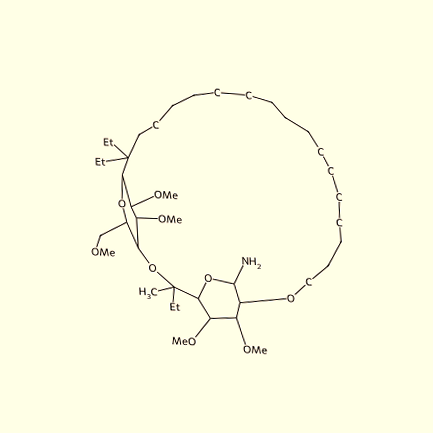 CCC1(CC)CCCCCCCCCCCCCCCCOC2C(N)OC(C(OC)C2OC)C(C)(CC)OC2C(COC)OC1C(OC)C2OC